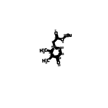 Cc1c(C)n(CC(=O)OC(C)(C)C)ncc1=O